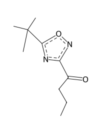 CCCC(=O)c1noc(C(C)(C)C)n1